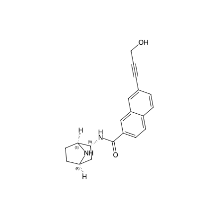 O=C(N[C@@H]1C[C@H]2CC[C@@H]1N2)c1ccc2ccc(C#CCO)cc2c1